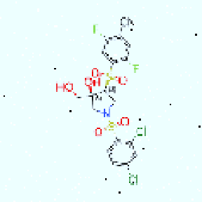 N#Cc1cc(F)c(S(=O)(=O)[C@H]2CN(S(=O)(=O)c3ccc(Cl)cc3Cl)C[C@]2(O)CO)cc1F